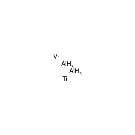 [AlH3].[AlH3].[Ti].[V]